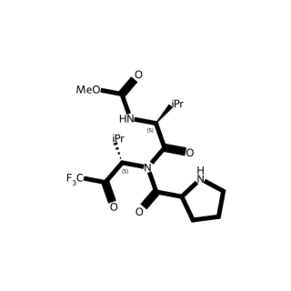 COC(=O)N[C@H](C(=O)N(C(=O)C1CCCN1)[C@H](C(=O)C(F)(F)F)C(C)C)C(C)C